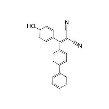 N#CC(C#N)=C(c1ccc(O)cc1)c1ccc(-c2ccccc2)cc1